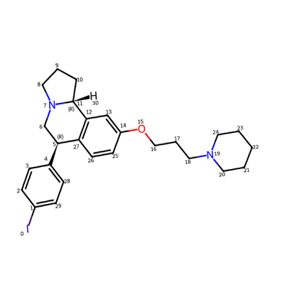 Ic1ccc([C@H]2CN3CCC[C@@H]3c3cc(OCCCN4CCCCC4)ccc32)cc1